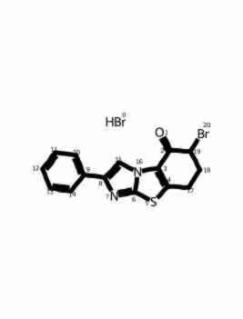 Br.O=C1c2c(sc3nc(-c4ccccc4)cn23)CCC1Br